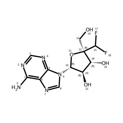 Nc1ncnc2c1ncn2[C@@H]1O[C@@](CO)(C(F)F)[C@H](O)[C@H]1O